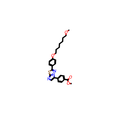 COCCCCCCCOc1ccc(-c2nn3c(-c4ccc(C(=O)OC)cc4)cnc3s2)cc1